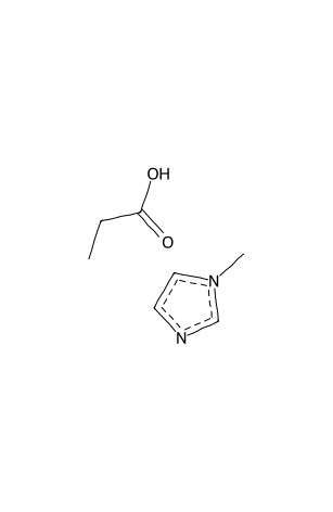 CCC(=O)O.Cn1ccnc1